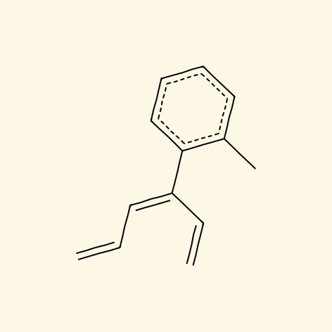 C=C/C=C(\C=C)c1ccccc1C